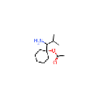 CC(=O)OC1(C(N)C(C)C)CCCCC1